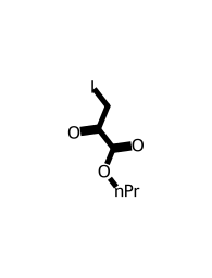 CCCOC(=O)C(=O)CI